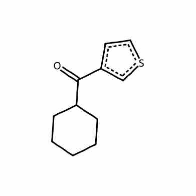 O=C(c1ccsc1)C1CCCCC1